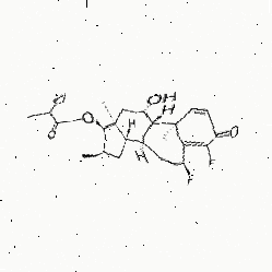 CC(Cl)C(=O)O[C@@H]1[C@H](C)C[C@H]2[C@@H]3C[C@H](F)C4=C(F)C(=O)C=C[C@]4(C)[C@H]3[C@@H](O)C[C@]12C